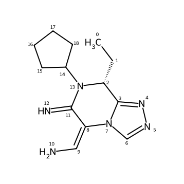 CC[C@@H]1c2nncn2/C(=C/N)C(=N)N1C1CCCC1